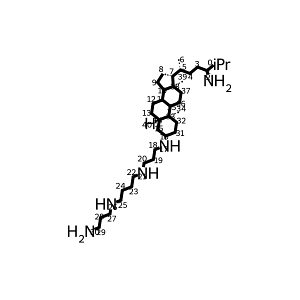 CC(C)C(N)CC[C@@H](C)[C@H]1CCC2C3CC[C@H]4C[C@@H](NCCCNCCCCNCCCN)CC[C@]4(C)C3CC[C@@]21C